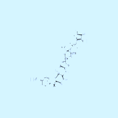 Cc1[nH]c(C(=O)N[C@@H]2[C@@H]3CN(c4nc(Cc5ccc(C(=O)N6CCC(O)CC6)cc5)c(C(=O)O)s4)C[C@@H]32)c(Cl)c1Cl